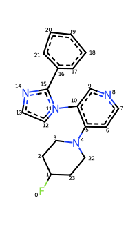 FC1CCN(c2ccncc2-n2ccnc2-c2ccccc2)CC1